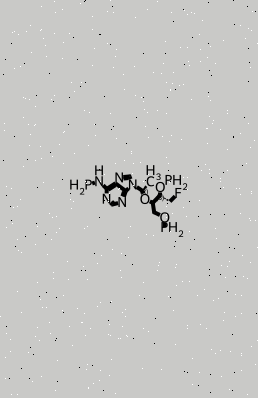 C[C@@H](OC(COP)[C@@H](CF)OP)n1cnc2c(NP)ncnc21